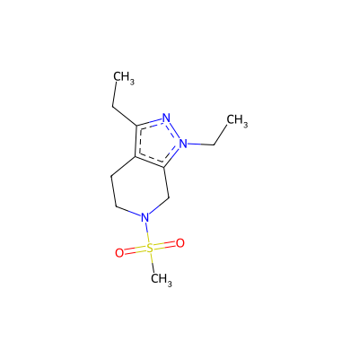 CCc1nn(CC)c2c1CCN(S(C)(=O)=O)C2